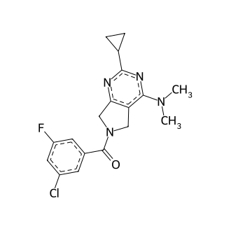 CN(C)c1nc(C2CC2)nc2c1CN(C(=O)c1cc(F)cc(Cl)c1)C2